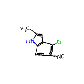 [C-]#[N+]c1ccc2[nH]c(C(F)(F)F)cc2c1Cl